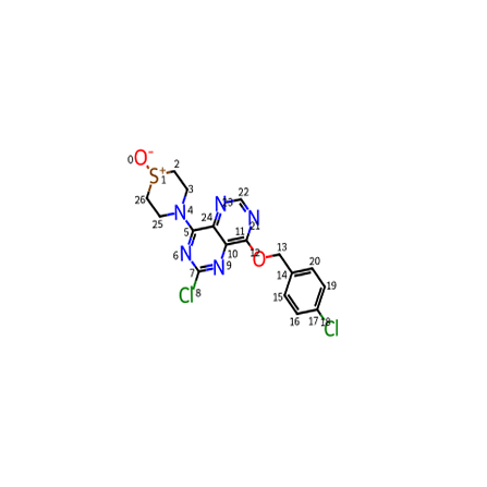 [O-][S+]1CCN(c2nc(Cl)nc3c(OCc4ccc(Cl)cc4)ncnc23)CC1